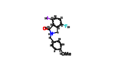 COc1ccc(CN2Cc3c(F)ccc(I)c3C2=O)cc1